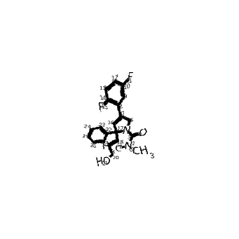 CN(C)C(=O)N1CC(c2cc(F)ccc2F)=CC1(/C=C/CO)c1ccccc1